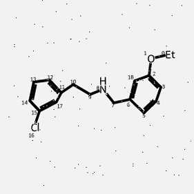 CCOc1cccc(CNCCc2cccc(Cl)c2)c1